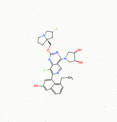 CCc1cccc2cc(O)cc(-c3ncc4c(N5C[C@@H](O)[C@@H](O)C5)nc(OC[C@@]56CCCN5C[C@H](F)C6)nc4c3F)c12